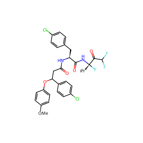 COc1ccc(OC(CC(=O)N[C@@H](Cc2ccc(Cl)cc2)C(=O)N[C@@](F)(C(=O)C(F)F)C(C)C)c2ccc(Cl)cc2)cc1